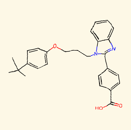 CC(C)(C)c1ccc(OCCCn2c(-c3ccc(C(=O)O)cc3)nc3ccccc32)cc1